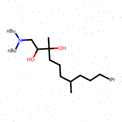 CCCCN(CCCC)CC(O)C(C)(O)CCCC(C)CCCC(C)C